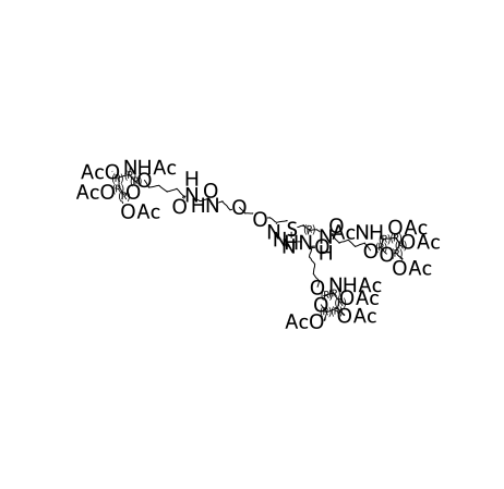 CC(=O)N[C@H]1[C@H](OCCCCC(=O)NCC(=O)NCCOCCOCC(CSC[C@@H](CNC(=O)CCCCO[C@@H]2O[C@H](COC(C)=O)[C@H](OC(C)=O)[C@H](OC(C)=O)[C@H]2NC(C)=O)NC(=O)CCCCO[C@@H]2O[C@H](COC(C)=O)[C@H](OC(C)=O)[C@H](OC(C)=O)[C@H]2NC(C)=O)N=[N+]=[N-])O[C@H](COC(C)=O)[C@H](OC(C)=O)[C@@H]1OC(C)=O